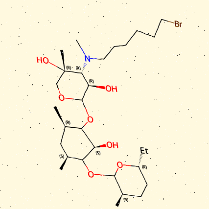 CC[C@@H]1CC[C@@H](C)C(OC2[C@H](O)C(OC3OC[C@](C)(O)[C@H](N(C)CCCCCCBr)[C@H]3O)[C@H](C)C[C@@H]2C)O1